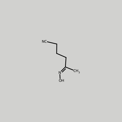 CC(CCCC#N)=NO